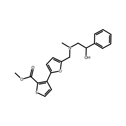 COC(=O)c1sccc1-c1ccc(CN(C)CC(O)c2ccccc2)o1